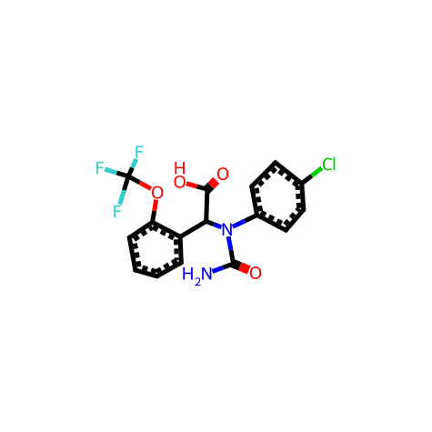 NC(=O)N(c1ccc(Cl)cc1)C(C(=O)O)c1ccccc1OC(F)(F)F